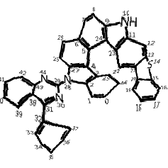 C1=Cc2c(c3c4c(ccc5[nH]c6cc7sc8ccccc8c7cc6c54)ccc3n2-c2nc(-c3ccccc3)c3ccccc3n2)CC1